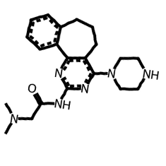 CN(C)CC(=O)Nc1nc2c(c(N3CCNCC3)n1)CCCc1ccccc1-2